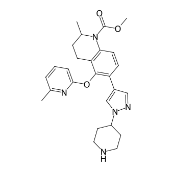 COC(=O)N1c2ccc(-c3cnn(C4CCNCC4)c3)c(Oc3cccc(C)n3)c2CCC1C